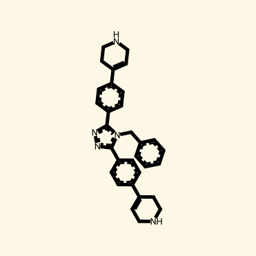 C1=C(c2ccc(-c3nnc(-c4ccc(C5=CCNCC5)cc4)n3Cc3ccccc3)cc2)CCNC1